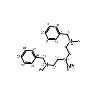 CCCN(CCN(C)Cc1ccccc1)CCN(C)Cc1ccccc1